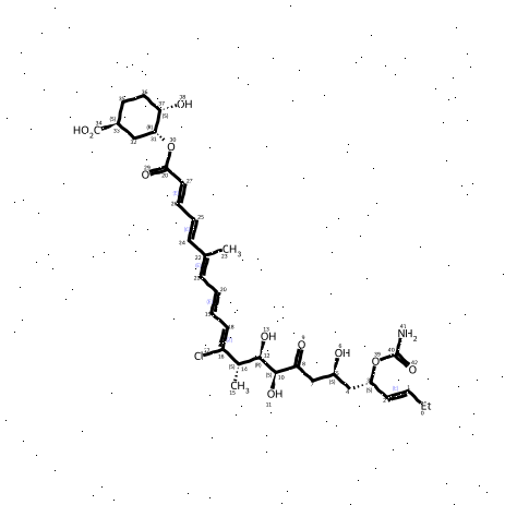 CC/C=C/[C@H](C[C@H](O)CC(=O)[C@@H](O)[C@H](O)[C@H](C)/C(Cl)=C/C=C/C=C(C)/C=C/C=C/C(=O)O[C@@H]1C[C@@H](C(=O)O)CC[C@@H]1O)OC(N)=O